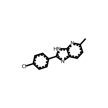 Cc1ccc2nc(-c3ccc(Cl)cc3)[nH]c2n1